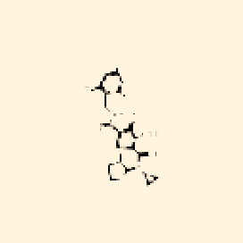 O=C(NCc1c(F)cc(F)cc1F)c1cn2c(c(O)c1=O)C(=O)N(C1CC1)C1OCCC12